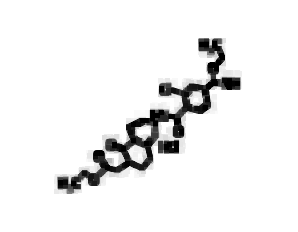 CCOC(=N)c1ccc(C(=O)Nc2ccc3c(c2)CCC(CC(=O)OCC)C3=O)c(Cl)c1.Cl